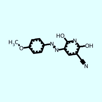 COc1ccc(/N=N/c2cc(C#N)c(O)nc2O)cc1